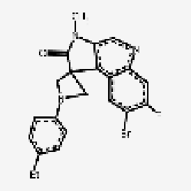 CCc1ccc(N2CC3(C2)C(=O)N(C)c2cnc4cc(F)c(Br)cc4c23)cc1